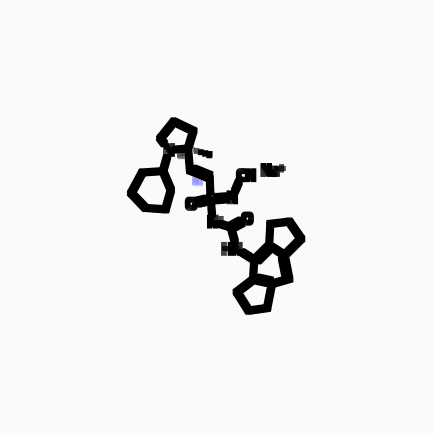 C[C@@]1(/C=C/S(=O)(=NC#N)[N-]C(=O)Nc2c3c(cc4c2CCC4)CCC3)CCCN1C1CCCCC1.[Na+]